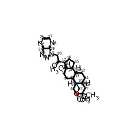 COC[C@]12CC[C@@](C)(O)C[C@H]1CC[C@H]1[C@@H]3CC[C@H](C(=O)Cn4nnc5nccnc54)[C@@]3(C)CC[C@@H]12